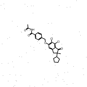 CC(=O)NC(=O)c1ccc(COc2cc3c(c(Cl)c2Cl)C(=O)C(C)(C2CCCC2)C3)cc1